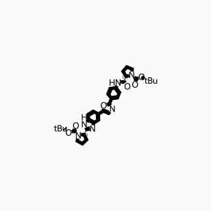 CC(C)(C)OC(=O)N1CCC[C@H]1C(=O)Nc1ccc(-c2ncc(-c3ccc4[nH]c([C@@H]5CCCN5C(=O)OC(C)(C)C)nc4c3)o2)cc1